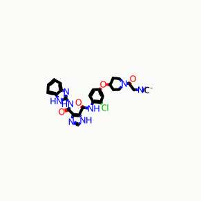 [C-]#[N+]CC(=O)N1CCC(Oc2ccc(NC(=O)c3[nH]cnc3C(=O)Nc3nc4ccccc4[nH]3)c(Cl)c2)CC1